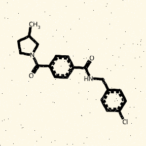 CC1CCN(C(=O)c2ccc(C(=O)NCc3ccc(Cl)cc3)cc2)C1